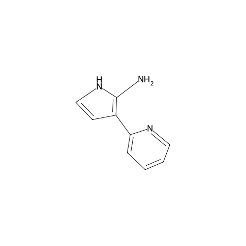 Nc1[nH]ccc1-c1ccccn1